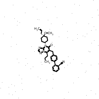 C=CC[C@]1(OC)CC[C@H](n2c(=O)c(Cc3ccc(-c4ccccc4C#N)cc3)c(CCC)n3ncnc32)CC1